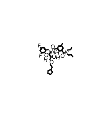 CCCN(CCC)C(=O)c1cc(C)cc(C(=O)N[C@@H](Cc2cc(F)cc(F)c2)[C@@H](O)[C@H](O)COCCC2CCCC2)c1